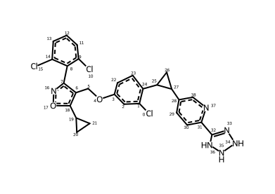 Clc1cc(OCc2c(-c3c(Cl)cccc3Cl)noc2C2CC2)ccc1C1CC1c1ccc(C2=NNNN2)nc1